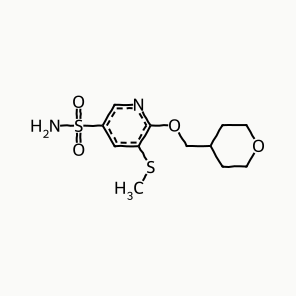 CSc1cc(S(N)(=O)=O)cnc1OCC1CCOCC1